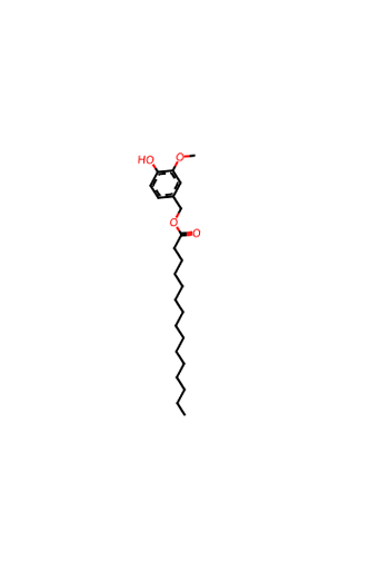 CCCCCCCCCCCCCCC(=O)OCc1ccc(O)c(OC)c1